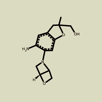 CC1(CO)Cc2cc(N)c(N3C[C@H]4OCC43)cc2O1